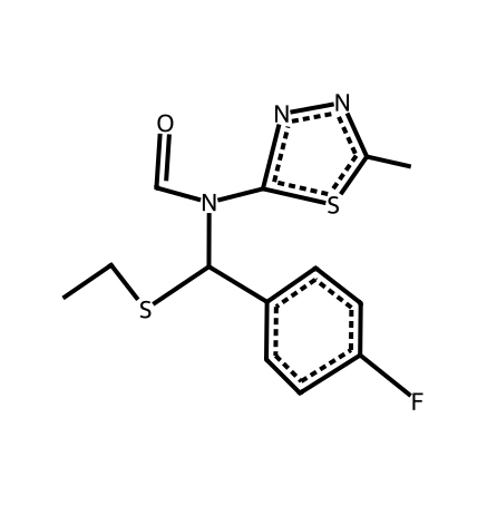 CCSC(c1ccc(F)cc1)N(C=O)c1nnc(C)s1